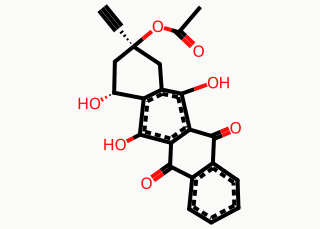 C#C[C@]1(OC(C)=O)Cc2c(O)c3c(c(O)c2[C@H](O)C1)C(=O)c1ccccc1C3=O